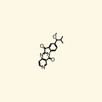 COC(c1ccc2c(c1)C(=O)c1nc3ccncc3c(=O)n1-2)C(C)C